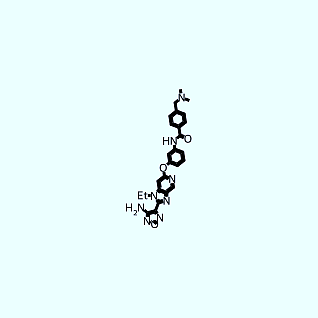 CCn1c(-c2nonc2N)nc2cnc(Oc3cccc(NC(=O)c4ccc(CN(C)C)cc4)c3)cc21